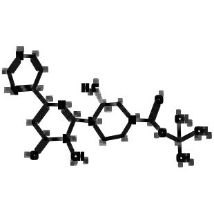 C[C@@H]1CN(C(=O)OC(C)(C)C)CCN1c1nc(-c2ccncn2)cc(=O)n1C